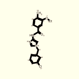 CCOc1cc(C(=O)Nc2cn(Cc3cccc(Cl)c3)cn2)ccc1C